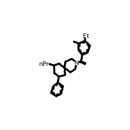 C=C(c1ccc(CC)c(C)c1)N1CCC2(CC1)CC(CCC)CC(c1ccccc1)C2